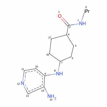 CC(C)NC(=O)C1CCC(Nc2ccncc2N)CC1